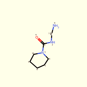 [NH2][Ir][NH]C(=O)N1[CH]CCCC1